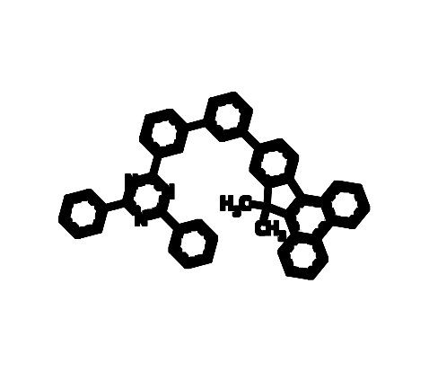 CC1(C)c2cc(-c3cccc(-c4cccc(-c5nc(-c6ccccc6)nc(-c6ccccc6)n5)c4)c3)ccc2-c2c1c1ccccc1c1ccccc21